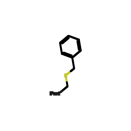 [CH2]CCC([CH2])CSCc1ccccc1